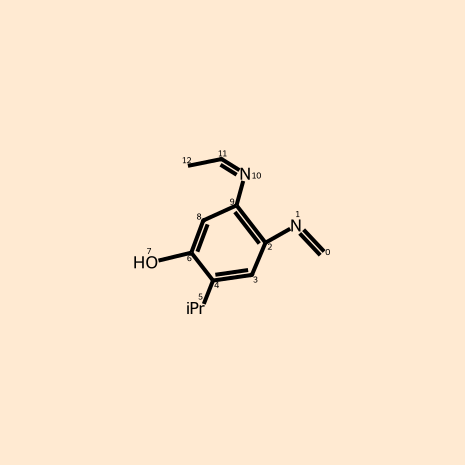 C=Nc1cc(C(C)C)c(O)cc1/N=C\C